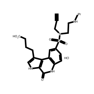 C#CCN(CCNC(C)C)S(=O)(=O)c1ccc2[nH]c(=O)c3[nH]cc(CCCC(=O)O)c3c2c1.Cl